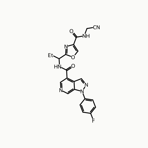 CCC(NC(=O)c1cncc2c1cnn2-c1ccc(F)cc1)c1nc(C(=O)NCC#N)co1